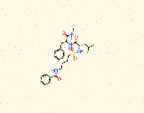 CNC(=O)[C@H](Cc1ccccc1)NC(=O)[C@H](CC(C)C)NS(=O)(=O)CCCCNC(=O)c1ccccc1